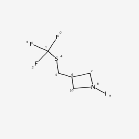 FC(F)(F)SCC1CN(I)C1